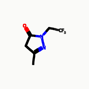 CC1=NN(CC(F)(F)F)C(=O)C1